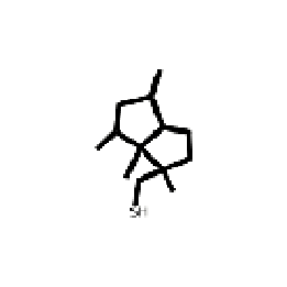 CC1CC(C)C2(C)C1CCC2(C)CS